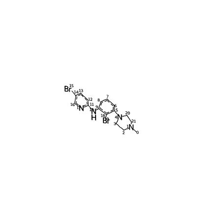 CN1CCN(c2cccc(Nc3ccc(Br)cn3)c2Br)CC1